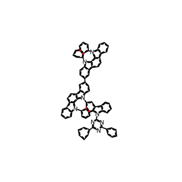 c1ccc(-c2nc(-c3ccccc3)nc(-n3c4ccccc4c4cc(-n5c6ccc(-c7ccc8c(c7)c7ccc9c%10ccccc%10n(-c%10ccccc%10)c9c7n8-c7ccccc7)cc6c6ccc7c8ccccc8n(-c8ccccc8)c7c65)ccc43)n2)cc1